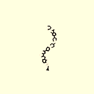 O=C1CC[C@H](N2Cc3cc(C4CCN(CC5CCN(c6ccc(-c7cnc8[nH]cc(C(=O)c9c(F)ccc(N[S+]([O-])CC%10CC%10)c9F)c8c7)cc6)CC5)CC4)ccc3C2=O)C(=O)N1